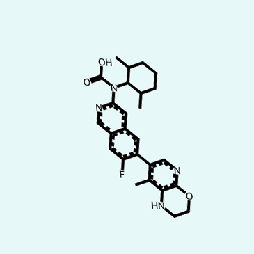 Cc1c(-c2cc3cc(N(C(=O)O)C4C(C)CCCC4C)ncc3cc2F)cnc2c1NCCO2